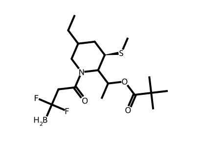 BC(F)(F)CC(=O)N1CC(CC)C[C@@H](SC)C1C(C)OC(=O)C(C)(C)C